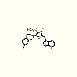 Cc1ccc2c(c1)CN(C1=C(C(=O)O)C(=O)/C(=C/c3c[nH]c4ncccc34)O1)CC2